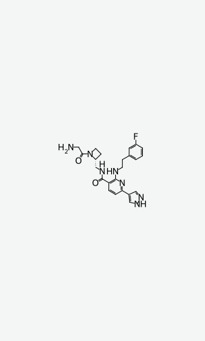 NCC(=O)N1CC[C@@H]1CNC(=O)c1ccc(-c2cn[nH]c2)nc1NCCc1cccc(F)c1